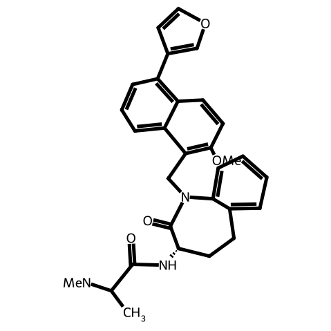 CNC(C)C(=O)N[C@H]1CCc2ccccc2N(Cc2c(OC)ccc3c(-c4ccoc4)cccc23)C1=O